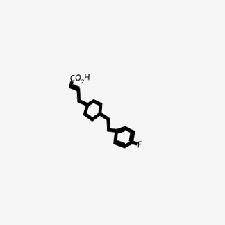 O=C(O)/C=C/CC1CCC(CCc2ccc(F)cc2)CC1